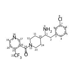 NC(Cc1cccc(Cl)c1)C1CCN(C(=O)c2cnccc2C(F)(F)F)CC1